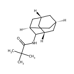 CC(C)(C)C(=O)NC1[C@H]2C[C@@H]3C[C@@H](C[C@H]1C3)C2